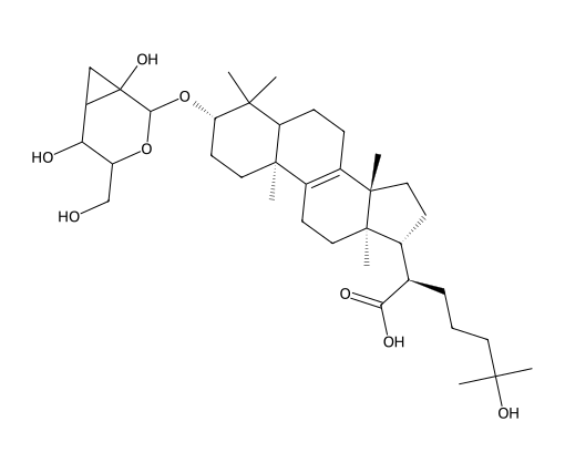 CC(C)(O)CCC[C@@H](C(=O)O)[C@H]1CC[C@@]2(C)C3=C(CC[C@]12C)[C@@]1(C)CC[C@H](OC2OC(CO)C(O)C4CC24O)C(C)(C)C1CC3